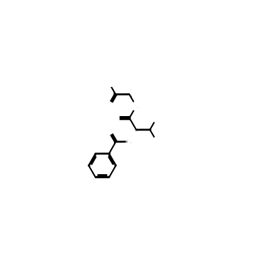 CC(C)[C@H](NC(=O)c1ccccc1)C(=O)N[C@@H](C)C(=O)O